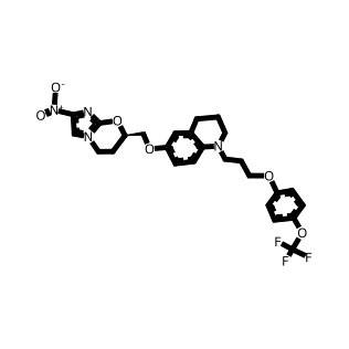 O=[N+]([O-])c1cn2c(n1)O[C@@H](COc1ccc3c(c1)CCCN3CCCOc1ccc(OC(F)(F)F)cc1)CC2